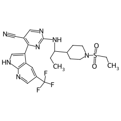 CCC(Nc1ncc(C#N)c(-c2c[nH]c3ncc(C(F)(F)F)cc23)n1)C1CCN(S(=O)(=O)CC)CC1